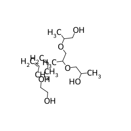 C=CC.C=CC.CC(O)COC(C)COC(C)CO.OCCO